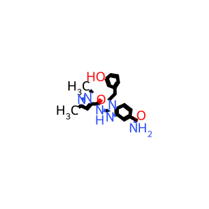 CCn1nc(C)cc1C(=O)Nc1nc2cc(C(N)=O)ccc2n1CCc1cccc(O)c1